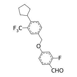 O=Cc1ccc(OCc2ccc(C3CCCC3)c(C(F)(F)F)c2)cc1F